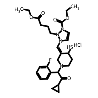 CCOC(=O)CCCN1N(C=C2CN(C(C(=O)C3CC3)c3ccccc3F)CCC2S)C=CN1C(=O)OCC.Cl